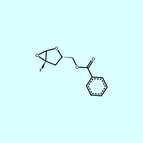 O=C(OC[C@@H]1C[C@]2(F)OC2O1)c1ccccc1